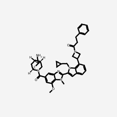 COc1cc(C(=O)N2C[C@H]3CC[C@@H]2C[C@@H]3N)cc2nc(-c3cc4cccc(C5CN(C(=O)CCc6ccccc6)C5)c4n3CC3CC3)n(C)c12